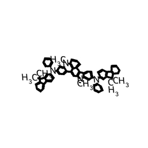 CN1c2cc(N(c3ccccc3)c3ccc4c(c3)C(C)(C)c3ccccc3-4)ccc2-c2cc3c(c4cccc1c24)c1ccc(N(c2ccccc2)c2ccc4c(c2)C(C)(C)C2=C4C=CCC2)cc1n3C